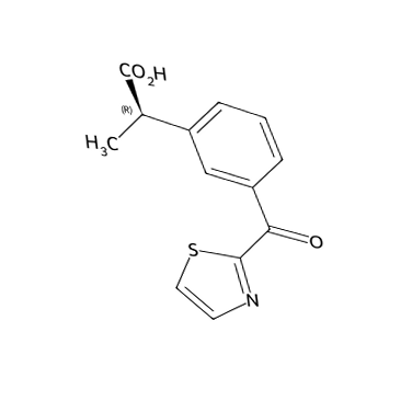 C[C@@H](C(=O)O)c1cccc(C(=O)c2nccs2)c1